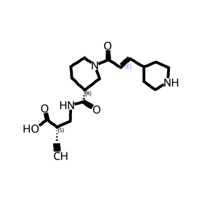 C#C[C@@H](CNC(=O)[C@@H]1CCCN(C(=O)/C=C/C2CCNCC2)C1)C(=O)O